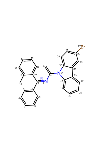 C=C(/N=C(/c1ccccc1)c1ccccc1C)n1c2ccccc2c2cc(Br)ccc21